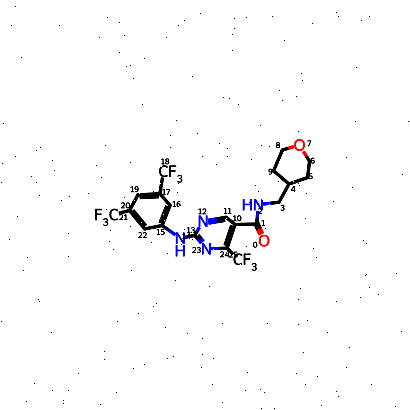 O=C(NCC1CCOCC1)c1cnc(Nc2cc(C(F)(F)F)cc(C(F)(F)F)c2)nc1C(F)(F)F